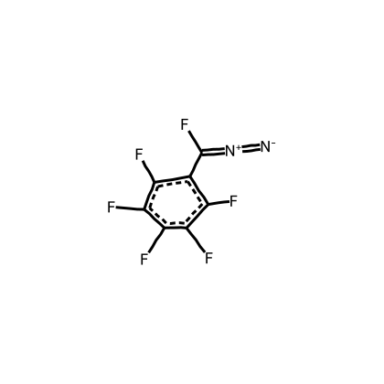 [N-]=[N+]=C(F)c1c(F)c(F)c(F)c(F)c1F